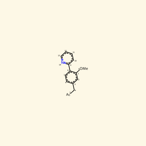 COc1cc(CC(C)=O)ccc1-c1ccccn1